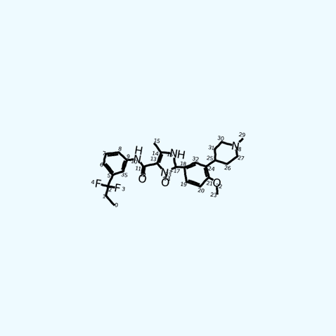 CCC(F)(F)c1cccc(NC(=O)C2=C(C)NC(c3ccc(OC)c(C4CCN(C)CC4)c3)[N+]2=O)c1